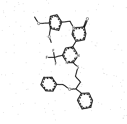 COc1ccc(Cn2cc(-c3cc(C(F)(F)F)nc(SCCC(OCc4ccccc4)c4ccccc4)n3)ccc2=O)cc1OC